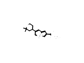 COC(=O)c1cc2cc(C3CCOC(C)(C)C3)cnn2c1